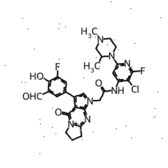 CC1CN(C)CCN1c1cc(NC(=O)Cn2cc(-c3cc(F)c(O)c(C=O)c3)c3c(=O)n4c(nc32)CCC4)c(Cl)c(F)n1